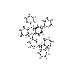 c1ccc(-c2ccc3c(c2)C2(c4ccccc4)c4ccccc4C3(c3cccc(-n4c5ccccc5c5ccccc54)c3)c3ccccc32)cc1